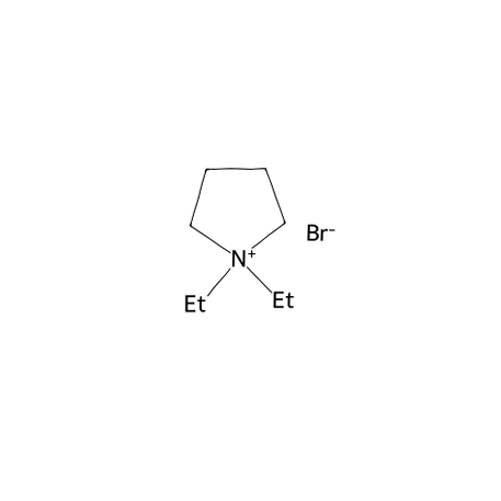 CC[N+]1(CC)CCCC1.[Br-]